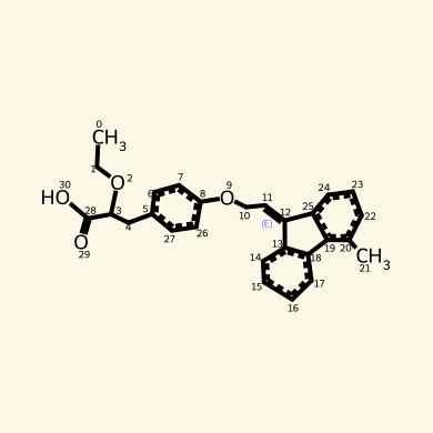 CCOC(Cc1ccc(OC/C=C2\c3ccccc3-c3c(C)cccc32)cc1)C(=O)O